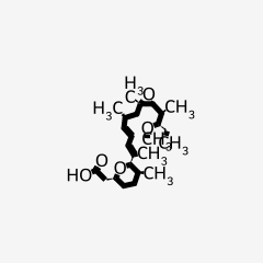 CC[C@H](OC)[C@@H](C)[C@H]1O[C@]1(C)C[C@H](C)/C=C/C=C(\C)[C@H]1O[C@@H](CC(=O)O)CC[C@@H]1C